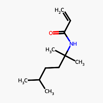 C=CC(=O)NC(C)(C)CCC(C)C